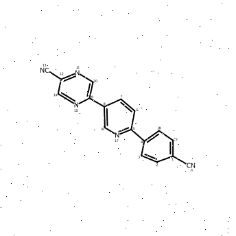 N#Cc1ccc(-c2ccc(-c3cnc(C#N)cn3)cn2)cc1